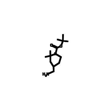 CC(C)(C)OC(=O)N1CCC(CN)CC1(C)C